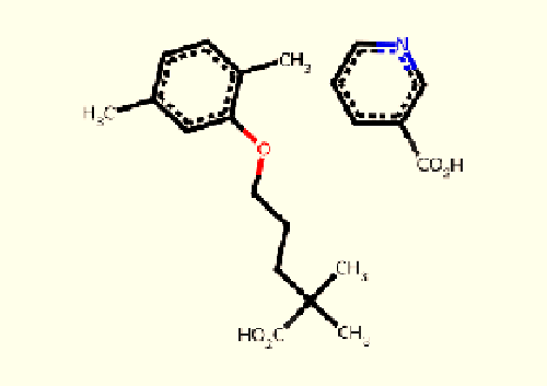 Cc1ccc(C)c(OCCCC(C)(C)C(=O)O)c1.O=C(O)c1cccnc1